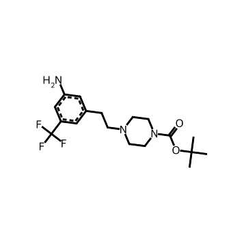 CC(C)(C)OC(=O)N1CCN(CCc2cc(N)cc(C(F)(F)F)c2)CC1